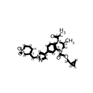 CC(=O)N1c2ccc(-c3cnn(CC4CCCS(=O)(=O)C4)c3)cc2N(C(=O)OCC2CC2)C[C@@H]1C